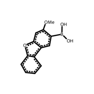 COc1cc2oc3ccccc3c2cc1B(O)O